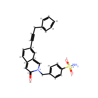 NS(=O)(=O)c1ccc(Cn2cc3cc(C#CCc4ccccc4)ccc3cc2=O)cc1